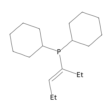 CCC=C(CC)P(C1CCCCC1)C1CCCCC1